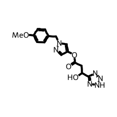 COc1ccc(Cn2cc(OC(=O)CC(O)c3nn[nH]n3)cn2)cc1